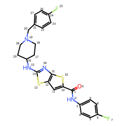 O=C(Nc1ccc(F)cc1)c1cc2sc(NC3CCN(Cc4ccc(F)cc4)CC3)nc2s1